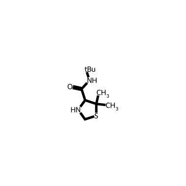 CC(C)(C)NC(=O)C1NCSC1(C)C